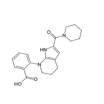 O=C(O)c1ccccc1N1CCCc2cc(C(=O)N3CCCCC3)[nH]c21